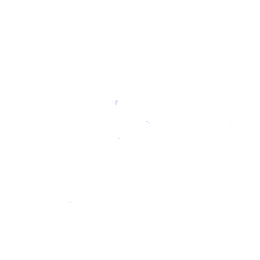 N=C(Nc1ccc2cccc3c2c1CC3Br)Nc1ccc2cccc3c2c1CC3Br